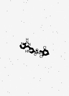 O=S(=O)(NCc1c(Cl)cccc1Cl)c1c[nH]c(-c2n[nH]c3ncccc23)c1